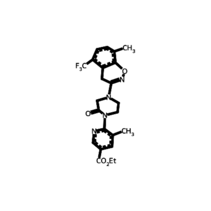 CCOC(=O)c1cnc(N2CCN(C3=NOc4c(C)ccc(C(F)(F)F)c4C3)CC2=O)c(C)c1